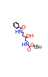 CC(C)(C)OC(=O)NCCC(O)CCNC(=O)c1ccccc1